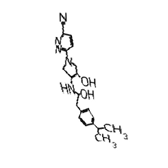 CC(C)c1ccc(CC(O)N[C@H]2CN(c3ccc(C#N)nn3)C[C@H]2O)cc1